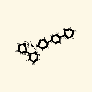 CC(C)(C)N(c1ccc(-c2ccc(-c3ccccc3)cc2)cc1)c1ccccc1-c1ccccc1